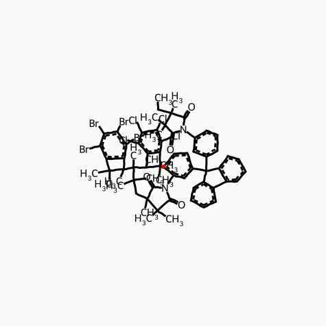 CCC1(C)C(=O)N(c2cccc(C3(c4cccc(N5C(=O)C(C)(C)C(C)(CC(C)(C)C(C)(C6(C)c7c(Cl)c(Cl)c(Cl)c(Cl)c7C6(C)C)C6(C)c7c(Br)c(Br)c(Br)c(Br)c7C6(C)C)C5=O)c4)c4ccccc4-c4ccccc43)c2)C(=O)C1(C)C